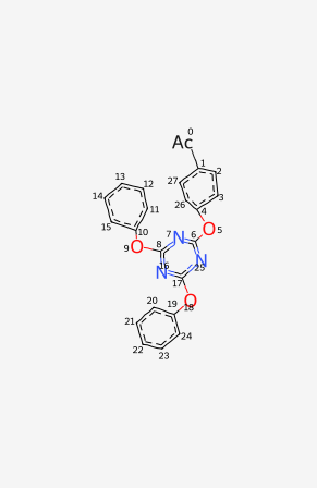 CC(=O)c1ccc(Oc2nc(Oc3ccccc3)nc(Oc3ccccc3)n2)cc1